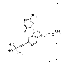 COCCn1cc(-c2nc(N)ncc2F)c2cc(C#CC(C)(C)O)ncc21